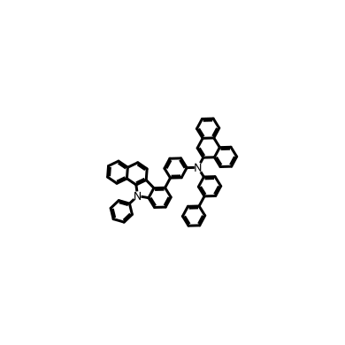 c1ccc(-c2cccc(N(c3cccc(-c4cccc5c4c4ccc6ccccc6c4n5-c4ccccc4)c3)c3cc4ccccc4c4ccccc34)c2)cc1